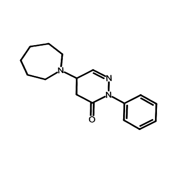 O=C1CC(N2CCCCCC2)C=NN1c1ccccc1